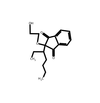 CCCCC(CC)C1(OCCO)C(=O)c2ccccc2C1=O